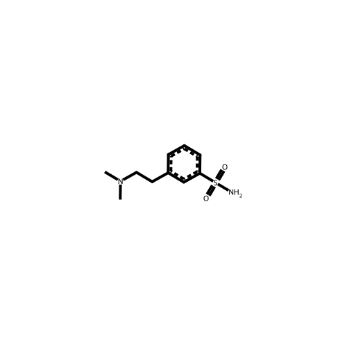 CN(C)CCc1cccc(S(N)(=O)=O)c1